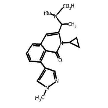 CC(c1cc2cccc(-c3cnn(C)c3)c2c(=O)n1C1CC1)N(C(=O)O)C(C)(C)C